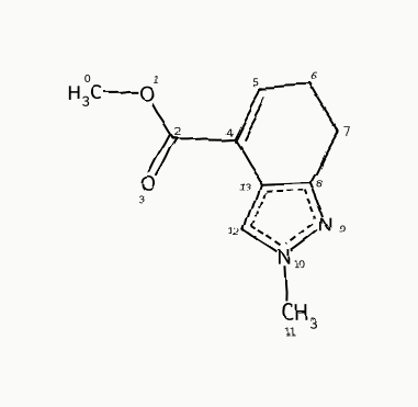 COC(=O)C1=CCCc2nn(C)cc21